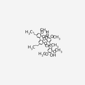 CCCc1cc(OC)c(O)c(-c2cc(CCC)cc(OC)c2Oc2cc(C(C)Cc3cc(OC)c(O)c(OC)c3)cc(OC)c2O)c1